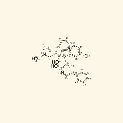 CN(C)CCC(O)(C1=C=C=CC=C1)C(c1cccc(Cl)c1)c1cc(-c2ccccc2)cnc1O